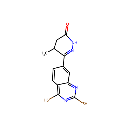 CC1CC(=O)NN=C1c1ccc2c(S)nc(S)nc2c1